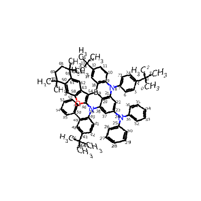 CC(C)(C)c1ccc(N2c3ccc(C(C)(C)C)cc3B3c4c2cc(N(c2ccccc2)c2ccccc2)cc4N(c2ccc(C(C)(C)C)cc2-c2ccccc2)c2oc4cc5c(cc4c23)C(C)(C)CCC5(C)C)cc1